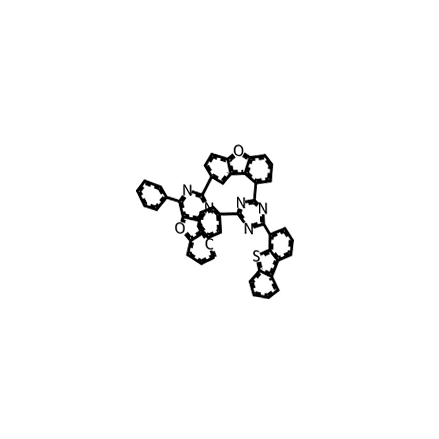 c1ccc(-c2nc(-c3cccc4c3sc3ccccc34)nc(-c3cccc4oc5ccc(-c6nc(-c7ccccc7)c7oc8ccccc8c7n6)cc5c34)n2)cc1